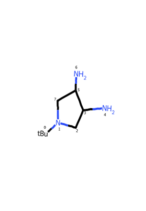 CC(C)(C)N1CC(N)C(N)C1